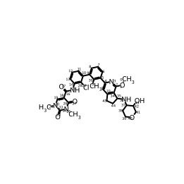 COc1nc(-c2cccc(-c3cccc(NC(=O)c4cn(C)c(=O)n(C)c4=O)c3Cl)c2C)cc2c1C(NC1CCOCC1O)CC2